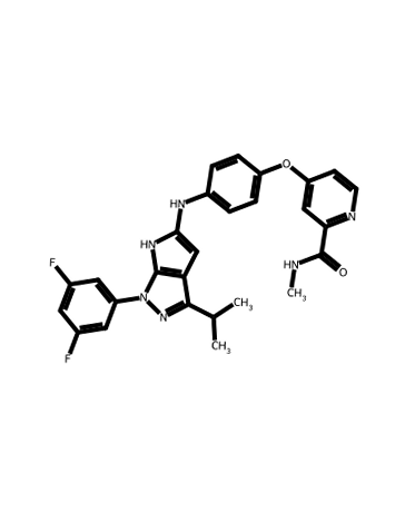 CNC(=O)c1cc(Oc2ccc(Nc3cc4c(C(C)C)nn(-c5cc(F)cc(F)c5)c4[nH]3)cc2)ccn1